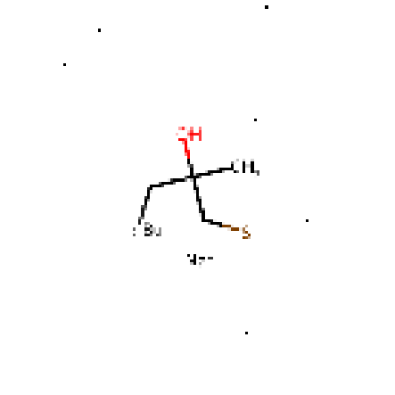 CCCCCC(C)(O)C[S-].[Na+]